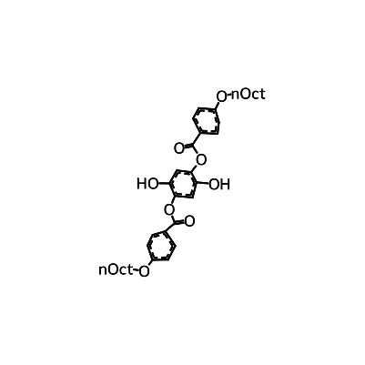 CCCCCCCCOc1ccc(C(=O)Oc2cc(O)c(OC(=O)c3ccc(OCCCCCCCC)cc3)cc2O)cc1